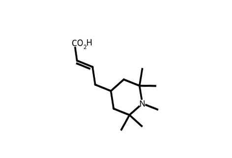 CN1C(C)(C)CC(CC=CC(=O)O)CC1(C)C